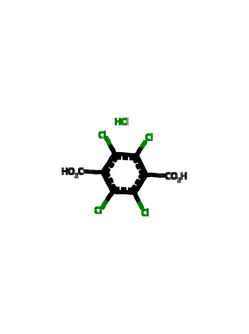 Cl.O=C(O)c1c(Cl)c(Cl)c(C(=O)O)c(Cl)c1Cl